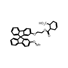 CCCOc1ccc2c(c1)C1(c3ccccc3-2)c2ccccc2-c2ccc(OCCOC(=O)C3CC=CCC3C(=O)O)cc21